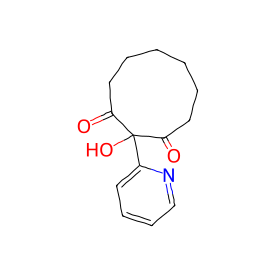 O=C1CCCCCCC(=O)C1(O)c1ccccn1